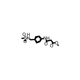 COC(=O)CC(=O)Nc1ccc(CNS(C)(=O)=O)cc1